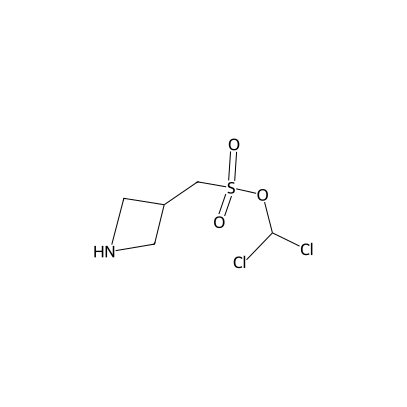 O=S(=O)(CC1CNC1)OC(Cl)Cl